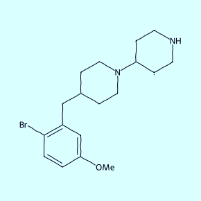 COc1ccc(Br)c(CC2CCN(C3[CH]CNCC3)CC2)c1